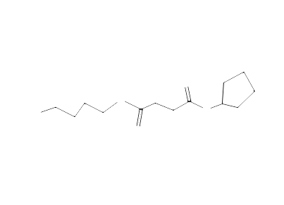 O=C(CCC(=O)OC1CCCC1)OCCCCO